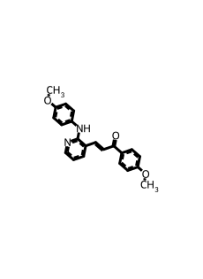 COc1ccc(Nc2ncccc2C=CC(=O)c2ccc(OC)cc2)cc1